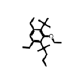 CCCC(C)(C)c1c(CC)[c]c(CC)c(C(C)(C)C)c1OCC